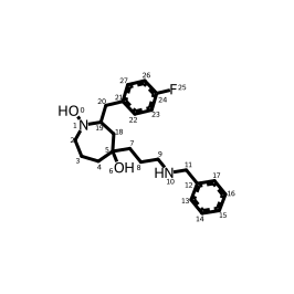 ON1CCCC(O)(CCCNCc2ccccc2)CC1Cc1ccc(F)cc1